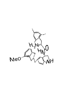 COc1cccc2c1CC(Cc1ccc3c(c1)[C@H](NC(=O)[C@@H](N)Cc1c(C)cc(C)cc1C)CCN3)C2